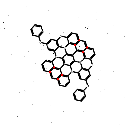 c1ccc(Oc2cc3c4c(c2)N(c2ccccc2)c2c(c(-c5ccccc5)c5c(c2-c2ccccc2)N(c2ccccc2)c2cc(Oc6ccccc6)cc6c2B5c2ccccc2S6)B4c2ccccc2S3)cc1